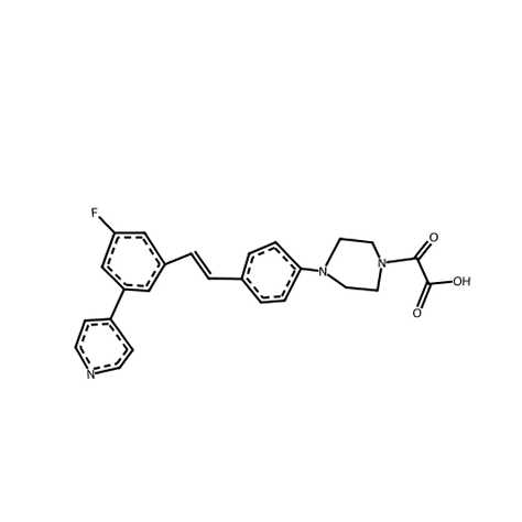 O=C(O)C(=O)N1CCN(c2ccc(C=Cc3cc(F)cc(-c4ccncc4)c3)cc2)CC1